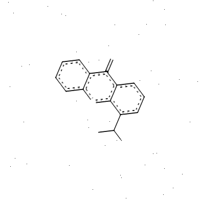 O=c1c2ccccc2sc2c(C(Cl)Cl)cccc12